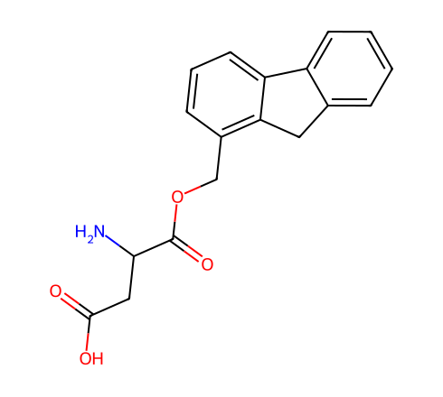 NC(CC(=O)O)C(=O)OCc1cccc2c1Cc1ccccc1-2